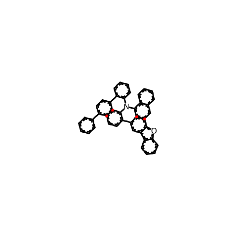 c1ccc(-c2ccc(-c3ccccc3N(c3ccccc3-c3ccc4oc5ccccc5c4c3)c3cccc4ccccc34)cc2)cc1